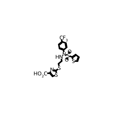 O=C(O)c1csc(SCCNN(c2ccc(C(F)(F)F)cc2)S(=O)(=O)c2cccs2)n1